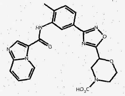 Cc1ccc(-c2noc(C3CN(C(=O)O)CCO3)n2)cc1NC(=O)c1cnc2ccccn12